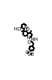 Cc1cc(NC(=O)Cc2ccc(S(C)(=O)=O)cc2)nc2c1C(=O)C(C)(c1ncccc1O)CC2